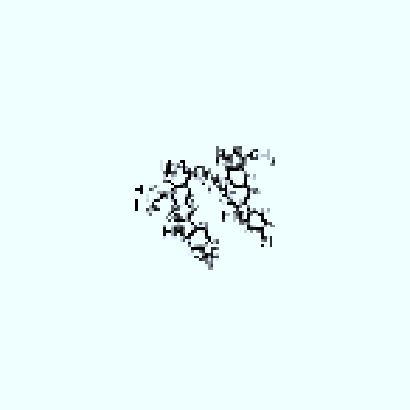 COc1c(C(C)C)cc(C=C2C(=O)Nc3cc(C(F)(F)F)ccc32)cc1C(C)C.COc1c(C(C)C)cc(C=C2C(=O)Nc3cc(Cl)ccc32)cc1C(C)C